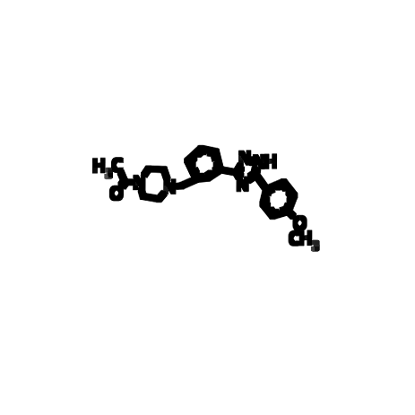 COc1ccc(-c2nc(-c3cccc(CN4CCN(C(C)=O)CC4)c3)n[nH]2)cc1